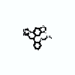 CCOc1ccccc1C1Cc2nncn2-c2cc3c(cc21)OCO3